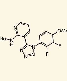 COc1ccc(-n2nnnc2-c2cccnc2NC(C)(C)C)c(F)c1F